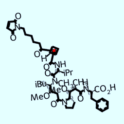 CC[C@H](C)[C@@H]([C@@H](CC(=O)N1CCC[C@H]1[C@H](OC)[C@@H](C)C(=O)N[C@@H](Cc1ccccc1)C(=O)O)OC)N(C)C(=O)[C@@H](NC(=O)[C@@H]1C2CC(C2)N1C(=O)CCCCCN1C(=O)C=CC1=O)C(C)C